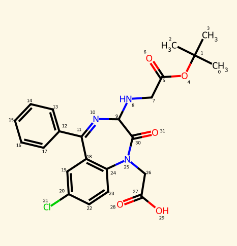 CC(C)(C)OC(=O)CNC1N=C(c2ccccc2)c2cc(Cl)ccc2N(CC(=O)O)C1=O